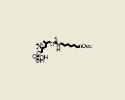 CCCCCCCCCCCCCCCCNC(=S)OCC(C)CC(COP(=O)(O)O)[N+](C)(C)C